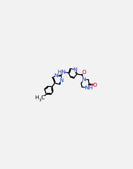 Cc1ccc(-c2cnc(Nc3ccc(C(=O)N4CCNC(=O)C4)nc3)nc2)cc1